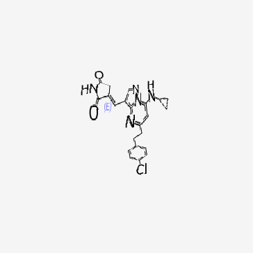 O=C1C/C(=C\c2cnn3c(NC4CC4)cc(CCc4ccc(Cl)cc4)nc23)C(=O)N1